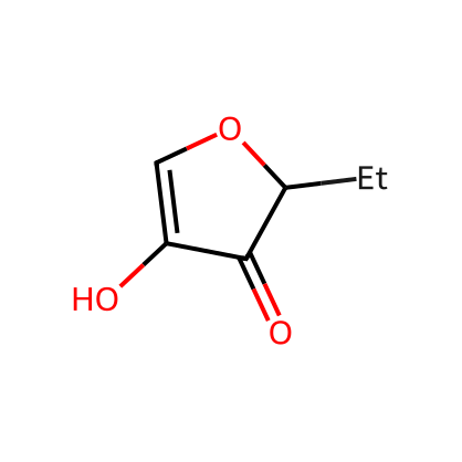 CCC1OC=C(O)C1=O